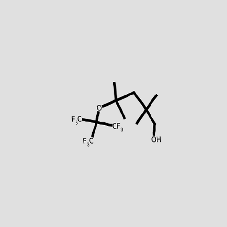 CC(C)(CO)CC(C)(C)OC(C(F)(F)F)(C(F)(F)F)C(F)(F)F